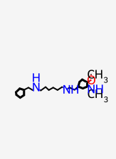 CNc1cc(CCNCCCCCCNCCc2ccccc2)ccc1OC